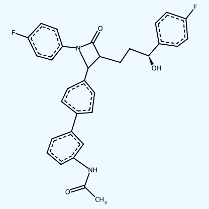 CC(=O)Nc1cccc(-c2ccc(C3C(CC[C@H](O)c4ccc(F)cc4)C(=O)N3c3ccc(F)cc3)cc2)c1